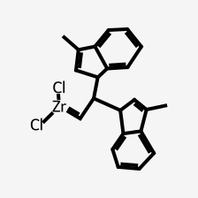 CC1=CC(C([CH]=[Zr]([Cl])[Cl])C2C=C(C)c3ccccc32)c2ccccc21